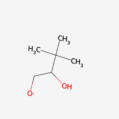 CC(C)(C)C(O)C[O]